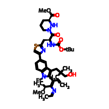 C=C/C(=C(\N=C/C)[C@H](C)OC)c1c(CC(C)(C)CO)c2cc(-c3csc(C[C@H](NC(=O)OC(C)(C)C)C(=O)N4CCC[C@@H](C(=O)OC)N4)n3)ccc2n1CC